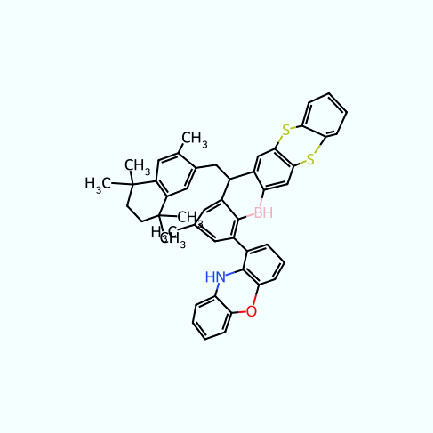 Cc1cc(-c2cccc3c2Nc2ccccc2O3)c2c(c1)C(Cc1cc3c(cc1C)C(C)(C)CCC3(C)C)c1cc3c(cc1B2)Sc1ccccc1S3